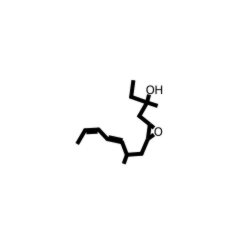 C/C=C\C=C\C(C)CC1OC1CC(C)(O)CC